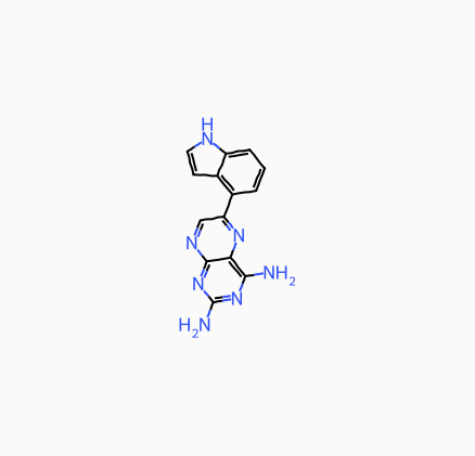 Nc1nc(N)c2nc(-c3cccc4[nH]ccc34)cnc2n1